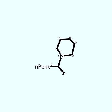 [CH2]C(CCCCC)N1CCCCC1